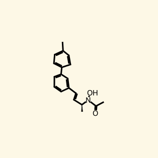 CC(=O)N(O)[C@@H](C)/C=C/c1cccc(-c2ccc(C)cc2)c1